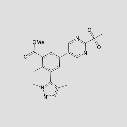 COC(=O)c1cc(-c2cnc(S(C)(=O)=O)nc2)cc(-c2c(C)cnn2C)c1C